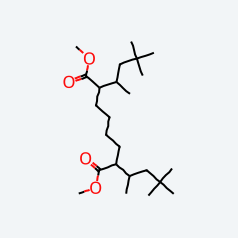 COC(=O)C(CCCCC(C(=O)OC)C(C)CC(C)(C)C)C(C)CC(C)(C)C